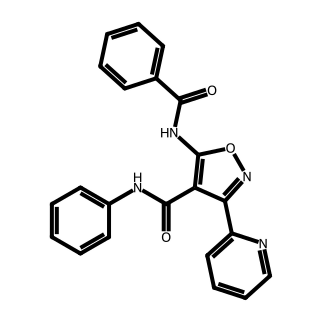 O=C(Nc1onc(-c2ccccn2)c1C(=O)Nc1ccccc1)c1ccccc1